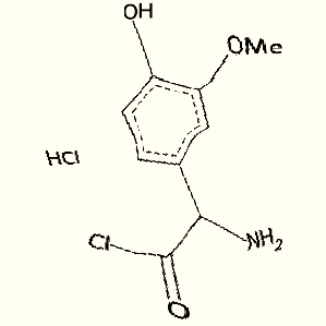 COc1cc(C(N)C(=O)Cl)ccc1O.Cl